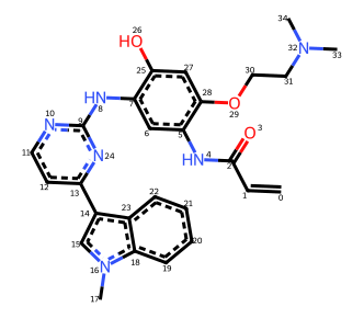 C=CC(=O)Nc1cc(Nc2nccc(-c3cn(C)c4ccccc34)n2)c(O)cc1OCCN(C)C